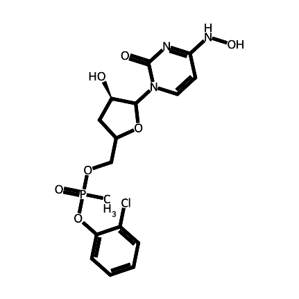 CP(=O)(OCC1C[C@@H](O)C(n2ccc(NO)nc2=O)O1)Oc1ccccc1Cl